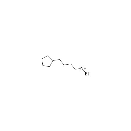 CCNCCCCC1CCCC1